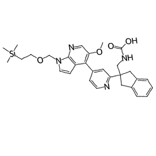 COc1cnc2c(ccn2COCC[Si](C)(C)C)c1-c1ccnc(C2(CNC(=O)O)Cc3ccccc3C2)c1